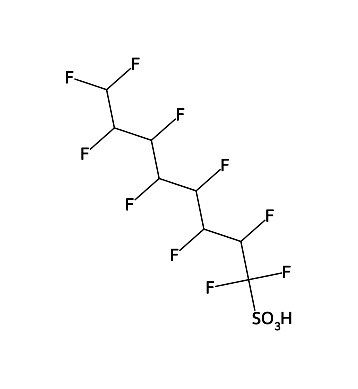 O=S(=O)(O)C(F)(F)C(F)C(F)C(F)C(F)C(F)C(F)C(F)F